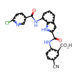 N#Cc1ccc(NC(=O)c2cc3cccc(NC(=O)c4ccc(Cl)nc4)c3[nH]2)c(C(=O)O)c1